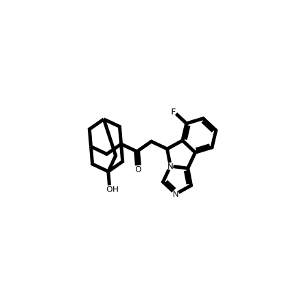 O=C(CC1c2c(F)cccc2-c2cncn21)C12CC3CC(CC(O)(C3)C1)C2